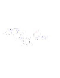 NC1=NC(c2cc(NC(=O)c3cc4cccn4cn3)ccc2F)COC1